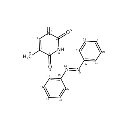 Cc1c[nH]c(=O)[nH]c1=O.c1ccc(N=Nc2ccccc2)cc1